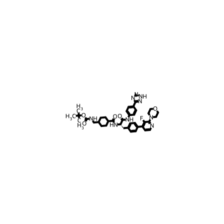 CC(C)(C)OC(=O)NCC1CCC(C(=O)N[C@@H](Cc2ccc(-c3ccnc(N4CCOCC4)c3F)cc2)C(=O)Nc2ccc(-c3nn[nH]n3)cc2)CC1